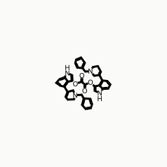 O=C(Oc1c[nH]c2cccc(C3=CCCN(Cc4ccccc4)C3)c12)C(=O)Oc1c[nH]c2cccc(C3=CCCN(Cc4ccccc4)C3)c12